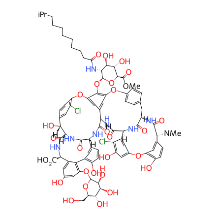 CN[C@H]1C(=O)N[C@@H]2Cc3ccc(cc3)Oc3cc4cc(c3O[C@@H]3O[C@H](C(=O)OC)[C@@H](O)[C@H](O)[C@H]3NC(=O)CCCCCCCCC(C)C)Oc3ccc(cc3Cl)[C@@H](O)[C@@H]3NC(=O)[C@H](NC(=O)[C@@H]4NC(=O)[C@@H](NC2=O)c2cc(cc(O)c2Cl)Oc2cc1ccc2O)c1ccc(O)c(c1)-c1c(OC2O[C@H](CO)[C@@H](O)[C@H](O)[C@@H]2O)cc(O)cc1[C@@H](C(=O)O)NC3=O